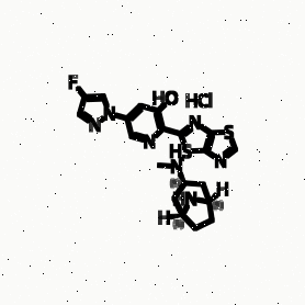 CN([C@@H]1C[C@H]2CC[C@@H](C1)N2)[SH]1C(c2ncc(-n3cc(F)cn3)cc2O)=Nc2scnc21.Cl